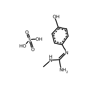 CNC(N)=Nc1ccc(O)cc1.O=S(=O)(O)O